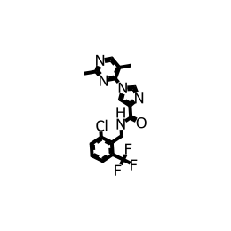 Cc1ncc(C)c(-n2cnc(C(=O)NCc3c(Cl)cccc3C(F)(F)F)c2)n1